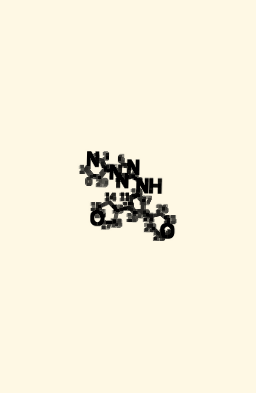 c1cncc(-n2cnc(Nc3cc(C4CCOCC4)cc(C4CCOCC4)c3)n2)c1